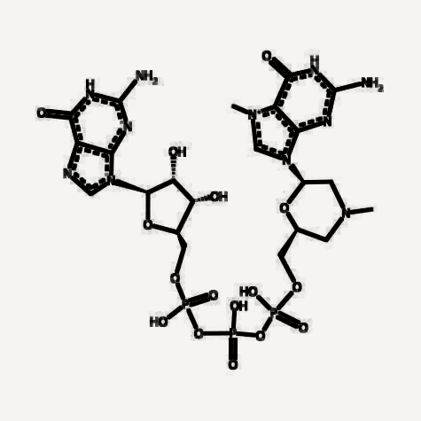 CN1C[C@@H](COP(=O)(O)OP(=O)(O)OP(=O)(O)OC[C@H]2O[C@@H](n3cnc4c(=O)[nH]c(N)nc43)[C@H](O)[C@@H]2O)O[C@@H](n2c[n+](C)c3c(=O)[nH]c(N)nc32)C1